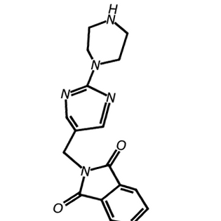 O=C1c2ccccc2C(=O)N1Cc1cnc(N2CCNCC2)nc1